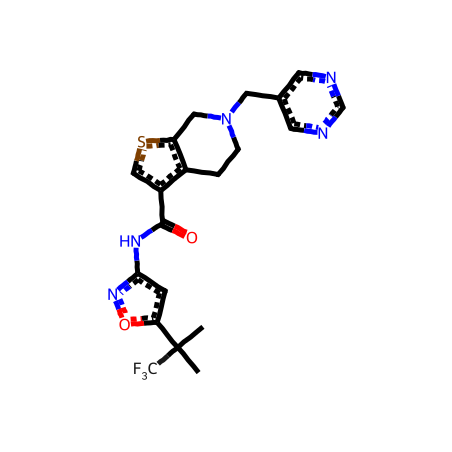 CC(C)(c1cc(NC(=O)c2csc3c2CCN(Cc2cncnc2)C3)no1)C(F)(F)F